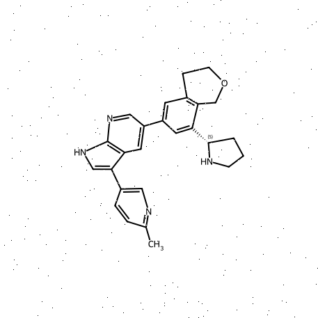 Cc1ccc(-c2c[nH]c3ncc(-c4cc5c(c([C@@H]6CCCN6)c4)COCC5)cc23)cn1